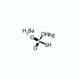 O=S(=O)(O)S.[Ag].[BaH2]